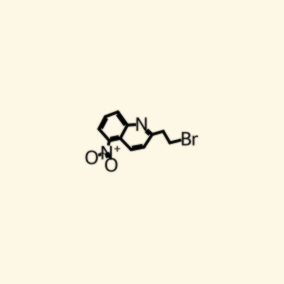 O=[N+]([O-])c1cccc2nc(CCBr)ccc12